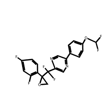 Fc1ccc(C2(C(F)(F)c3cnc(-c4ccc(OC(F)F)cc4)cn3)CO2)c(F)c1